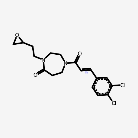 O=C(/C=C/c1ccc(Cl)c(Cl)c1)N1CCC(=O)N(CCC2CO2)CC1